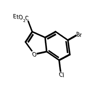 CCOC(=O)c1coc2c(Cl)cc(Br)cc12